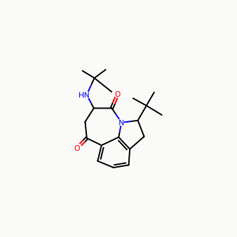 CC(C)(C)NC1CC(=O)c2cccc3c2N(C1=O)C(C(C)(C)C)C3